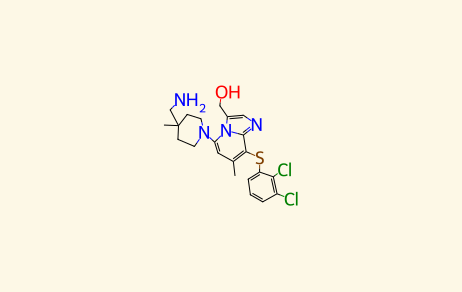 Cc1cc(N2CCC(C)(CN)CC2)n2c(CO)cnc2c1Sc1cccc(Cl)c1Cl